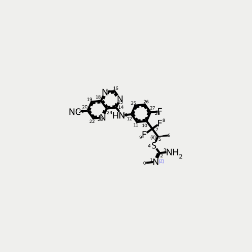 C/N=C(/N)S[C@H](C)C(F)(F)c1cc(Nc2ncnc3cc(C#N)cnc23)ccc1F